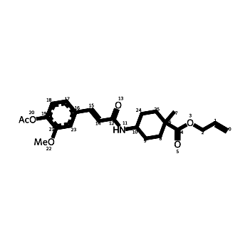 C=CCOC(=O)C1(C)CCC(NC(=O)C=Cc2ccc(OC(C)=O)c(OC)c2)CC1